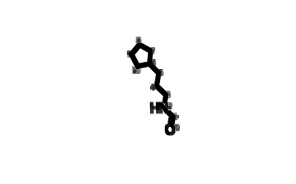 O=[C]NCCCC1CCCC1